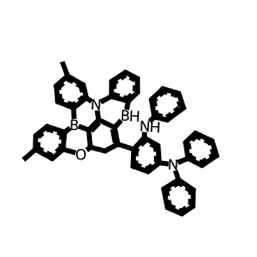 Cc1ccc2c(c1)OC1CC(c3ccc(N(c4ccccc4)c4ccccc4)cc3Nc3ccccc3)=C3Bc4ccccc4N4C3=C1B2c1ccc(C)cc14